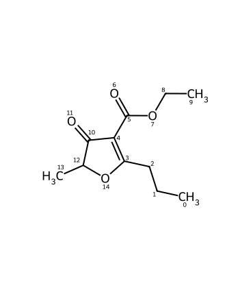 CCCC1=C(C(=O)OCC)C(=O)C(C)O1